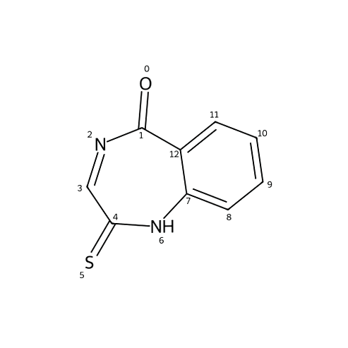 O=c1ncc(=S)[nH]c2ccccc12